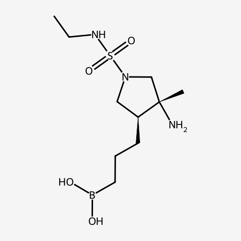 CCNS(=O)(=O)N1C[C@H](CCCB(O)O)[C@@](C)(N)C1